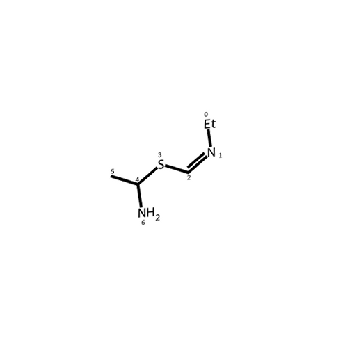 CC/N=C\SC(C)N